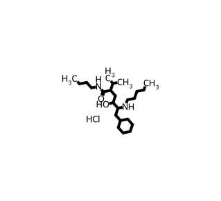 CCCCCNC(CC1CCCCC1)C(O)CC(C(=O)NCCCC)C(C)C.Cl